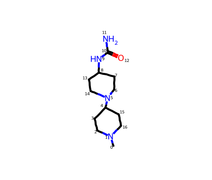 CN1CCC(N2CCC(NC(N)=O)CC2)CC1